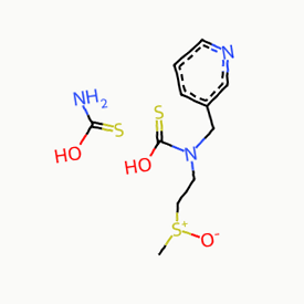 C[S+]([O-])CCN(Cc1cccnc1)C(O)=S.NC(O)=S